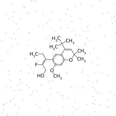 CC/C(=C(\F)CO)c1cc2c(cc1OC)OC(C)(C)C=C2C(C)(C)C